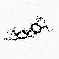 CCc1cc2sc3cc(CC)c(N)cc3c2cc1N